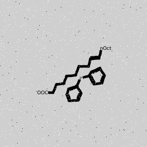 CCCCCCCCC=CCCCCCCCC(=O)[O-].c1ccc([I+]c2ccccc2)cc1